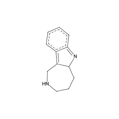 c1ccc2c(c1)=NC1CCCNCC=21